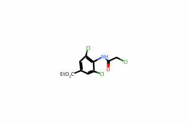 CCOC(=O)c1cc(Cl)c(NC(=O)CCl)c(Cl)c1